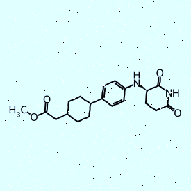 COC(=O)CC1CCC(c2ccc(N[C@@H]3CCC(=O)NC3=O)cc2)CC1